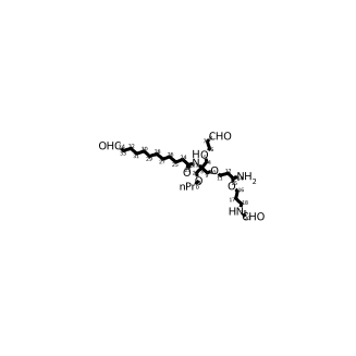 CCCOCC(COCCC=O)(COCCC(N)OCCCNC=O)NC(=O)CCCCCCCCCCC=O